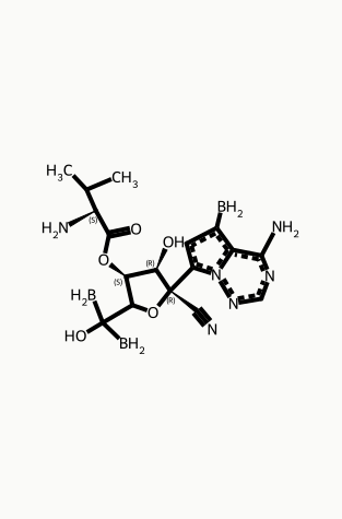 Bc1cc([C@]2(C#N)OC(C(B)(B)O)[C@@H](OC(=O)[C@@H](N)C(C)C)[C@H]2O)n2ncnc(N)c12